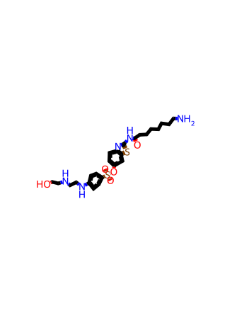 NCCCCCCCC(=O)Nc1nc2ccc(OS(=O)(=O)c3ccc(NCCNCCO)cc3)cc2s1